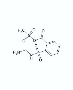 CS(=O)(=O)OC(=O)c1ccccc1S(=O)(=O)NCN